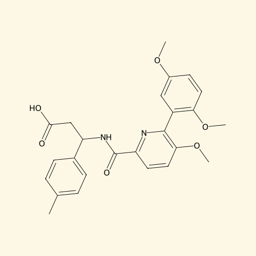 COc1ccc(OC)c(-c2nc(C(=O)NC(CC(=O)O)c3ccc(C)cc3)ccc2OC)c1